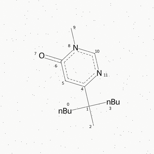 CCCCC(C)(CCCC)c1cc(=O)n(C)cn1